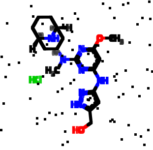 COc1cc(Nc2cc(CO)[nH]n2)nc(N(C)[C@H]2C[C@H]3CCC[C@@H](C2)N3)n1.Cl